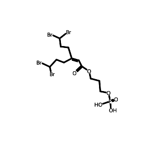 O=C(C=C(CCC(Br)Br)CCC(Br)Br)OCCCOP(=O)(O)O